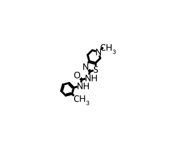 Cc1ccccc1NC(=O)Nc1nc2c(s1)CN(C)CC2